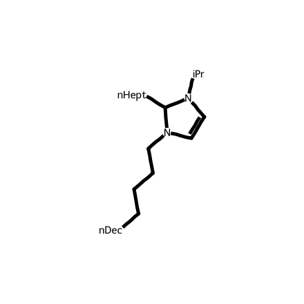 CCCCCCCCCCCCCCN1C=CN(C(C)C)C1CCCCCCC